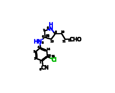 N#Cc1ccc(N[C@@H]2CNC(CCC=O)C2)cc1Cl